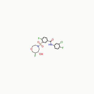 O=C(Nc1ccc(F)c(Cl)c1)c1ccc(F)c(S(=O)(=O)N2CCOC[C@H](F)[C@@H](O)C2)c1